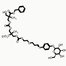 CCOC(=O)C(C)(COC(=O)OCCOCCC=Nc1ccc(O[C@@H]2O[C@H](CO)[C@H](O)[C@H](O)[C@H]2O)cc1)COC(=O)OCC(C)(CO)C(=O)OCc1ccccc1